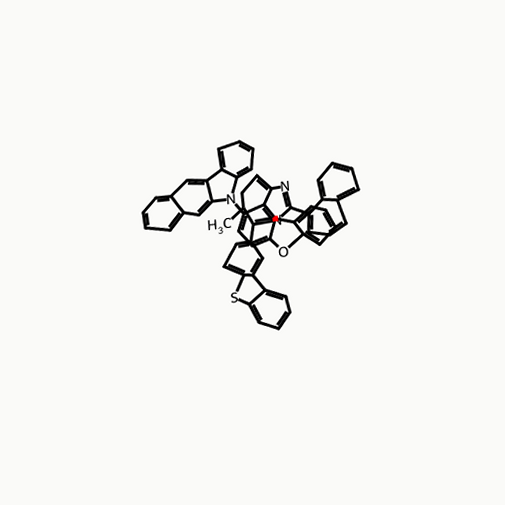 CC1C/C=C(c2c(-n3c4ccccc4c4cc5ccccc5cc43)ccc3oc4ccccc4c23)/N=C(c2cccc3ccccc23)\N=C/1c1ccc2sc3ccccc3c2c1